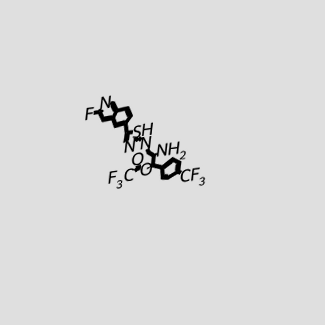 N[C@H](CNc1ncc(-c2ccc3cnc(F)cc3c2)s1)[C@@H](OC(=O)C(F)(F)F)c1ccc(C(F)(F)F)cc1